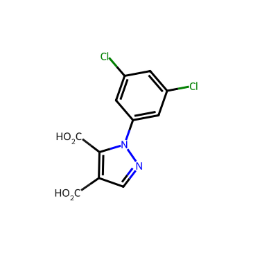 O=C(O)c1cnn(-c2cc(Cl)cc(Cl)c2)c1C(=O)O